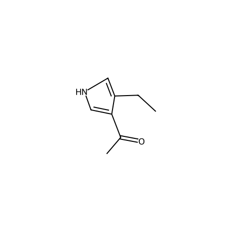 CCc1c[nH]cc1C(C)=O